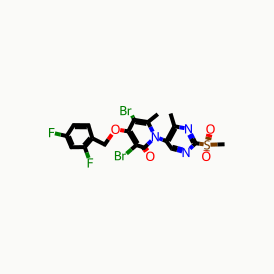 Cc1nc(S(C)(=O)=O)ncc1-n1c(C)c(Br)c(OCc2ccc(F)cc2F)c(Br)c1=O